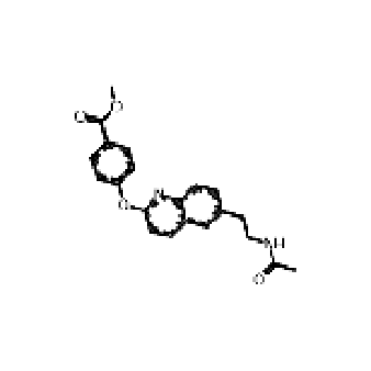 COC(=O)c1ccc(Oc2ccc3cc(CCNC(C)=O)ccc3n2)cc1